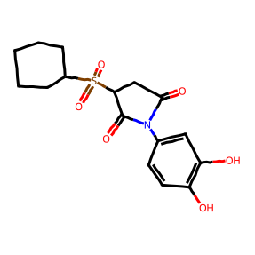 O=C1CC(S(=O)(=O)C2CCCCC2)C(=O)N1c1ccc(O)c(O)c1